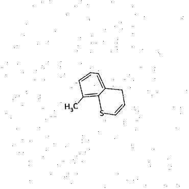 Cc1cccc2c1SC=CC2